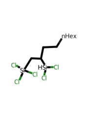 CCCCCCCCC(C[Si](Cl)(Cl)Cl)[SiH](Cl)Cl